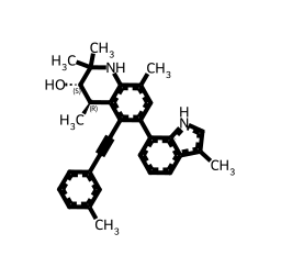 Cc1cccc(C#Cc2c(-c3cccc4c(C)c[nH]c34)cc(C)c3c2[C@@H](C)[C@H](O)C(C)(C)N3)c1